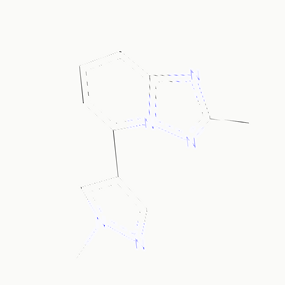 Cc1nc2cccc(-c3cnn(C)c3)n2n1